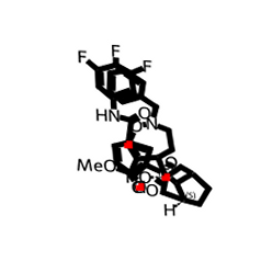 COC(=O)C1=CON(Cc2ccccc2)CCC1[C@@]1(O)CC2CC[C@@H](C1)C2S(=O)(=O)c1cc(C(=O)Nc2cc(F)c(F)c(F)c2)ccc1Cl